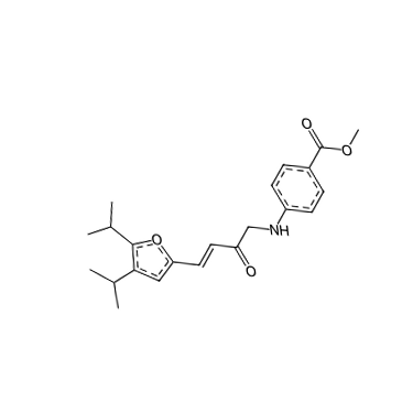 COC(=O)c1ccc(NCC(=O)C=Cc2cc(C(C)C)c(C(C)C)o2)cc1